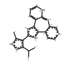 Cc1[nH]nc(C(F)F)c1-c1nc2c([nH]1)-c1ccncc1N=C1NC=CC=C12